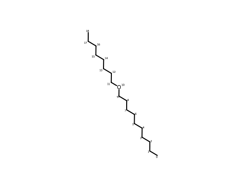 CCCCCCCCC[CH]OCCCCCCCC